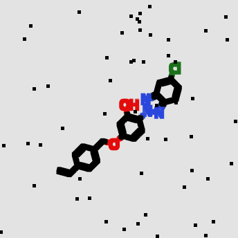 C=Cc1ccc(COc2ccc(-n3nc4ccc(Cl)cc4n3)c(O)c2)cc1